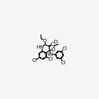 CCOC1Nc2cc(Cl)cc(Cl)c2C(Nc2cc(Cl)cc(Cl)c2)(OCC)C1=C=O